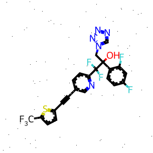 OC(Cn1cnnn1)(c1ccc(F)cc1F)C(F)(F)c1ccc(C#Cc2ccc(C(F)(F)F)s2)cn1